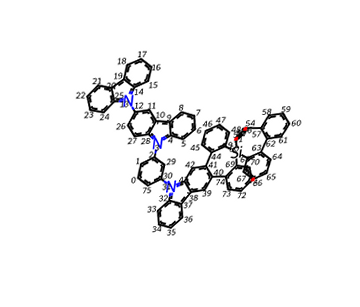 c1cc(-n2c3ccccc3c3cc(-n4c5ccccc5c5ccccc54)ccc32)cc(-n2c3ccccc3c3cc4c(cc32)-c2ccccc2[Si]2(c3ccccc3-c3ccccc3-c3ccccc32)c2ccccc2-4)c1